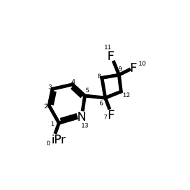 CC(C)c1cccc(C2(F)CC(F)(F)C2)n1